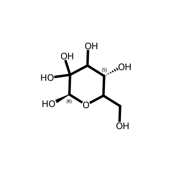 OCC1O[C@@H](O)C(O)(O)C(O)[C@@H]1O